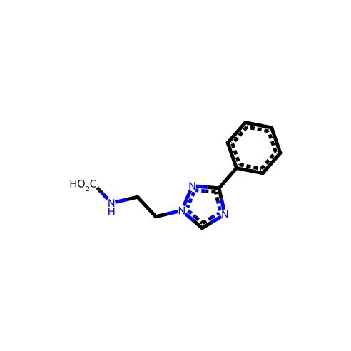 O=C(O)NCCn1cnc(-c2ccccc2)n1